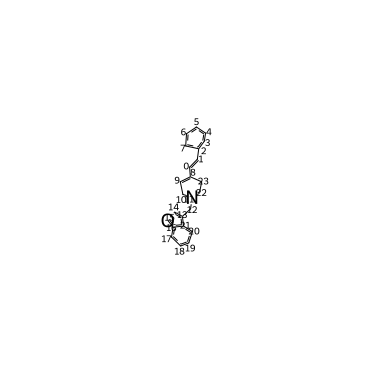 C(=Cc1ccccc1)C1=CCN(Cc2coc3ccccc23)CC1